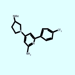 CNC1CCN(c2cc(N)nc(-c3ccc(C(F)(F)F)cc3)c2)C1